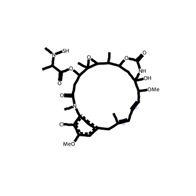 COc1cc2cc(c1Cl)N(C)C(=O)CC(OC(=O)C(C)N(C)S)C1(C)OC1C(C)C1CC(O)(NC(=O)O1)C(OC)/C=C/C=C(\C)C2